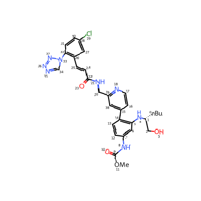 CCCC[C@H](CO)Nc1cc(NC(=O)OC)ccc1-c1ccnc(CNC(=O)/C=C/c2cc(Cl)ccc2-n2cnnn2)c1